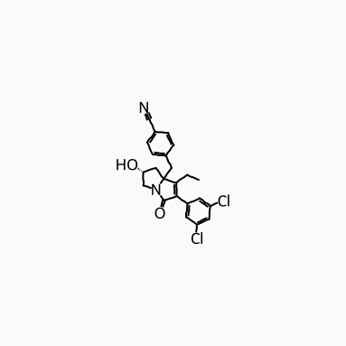 CCC1=C(c2cc(Cl)cc(Cl)c2)C(=O)N2C[C@H](O)CC12Cc1ccc(C#N)cc1